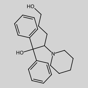 OCCCC(N1CCCCC1)C(O)(c1ccccc1)c1ccccc1